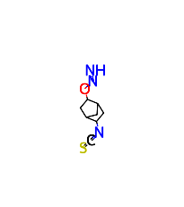 N=NOC1CC2CC1CC2N=C=S